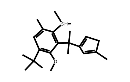 COc1c(C(C)(C)C)cc(C)c([SiH](C)C)c1C(C)(C)C1=CCC(C)=C1